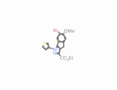 CCOC(=O)c1nn(-c2ccsc2)c2c1Cc1cc(OC)c(Br)cc1-2